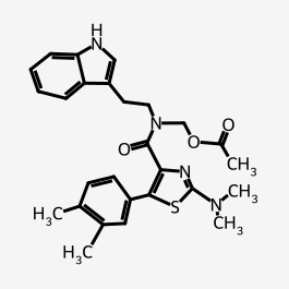 CC(=O)OCN(CCc1c[nH]c2ccccc12)C(=O)c1nc(N(C)C)sc1-c1ccc(C)c(C)c1